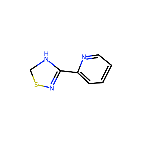 c1ccc(C2=NSCN2)nc1